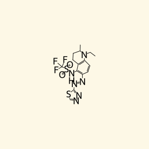 CCN1c2ccc(N=Nc3nncs3)c(NS(=O)(=O)C(F)(F)F)c2CCC1C